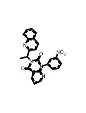 CC(c1ccc2ccccc2n1)n1c(=O)c2cccnc2n(-c2cccc([N+](=O)[O-])c2)c1=O